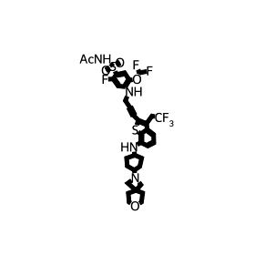 CC(=O)NS(=O)(=O)c1cc(OC(F)F)c(NCC#Cc2sc3c(NC4CCC(N5CC6(CCOCC6)C5)CC4)cccc3c2CC(F)(F)F)cc1F